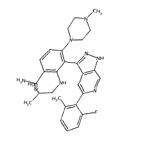 Cc1cccc(F)c1-c1cc2c(-c3c(N4CCN(C)CC4)ccc(C(N)=O)c3NCC(C)O)n[nH]c2cn1